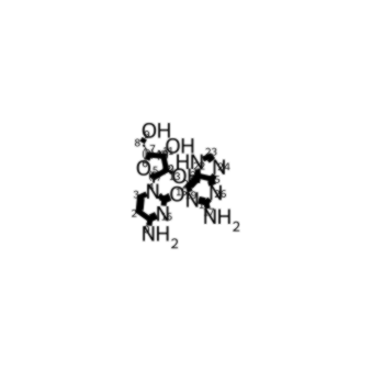 Nc1ccn([C@@H]2O[C@H](CO)[C@@H](O)[C@H]2O)c(=O)n1.Nc1ncc2[nH]cnc2n1